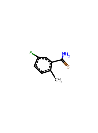 Cc1ccc(F)cc1C(N)=S